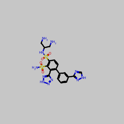 NCC(CN)NS(=O)(=O)c1ccc(-c2cccc(-c3nc[nH]n3)c2)c(-c2nn[nH]n2)c1S(N)(=O)=O